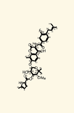 CO[C@@H]1[C@@H](OC(=O)c2ccc(C)[nH]2)[C@@H](O)[C@H](Oc2ccc3c(O)c(NC(=O)c4ccc(CC=C(C)C)c(F)c4)c(=O)oc3c2C)OC1(C)C